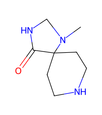 CN1CNC(=O)C12CCNCC2